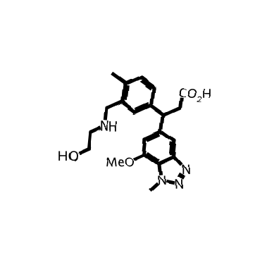 COc1cc(C(CC(=O)O)c2ccc(C)c(CNCCO)c2)cc2nnn(C)c12